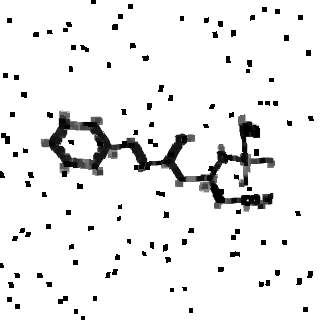 CC(C)(C)[Si](C)(C)O[C@@H](CC(=O)O)CC(=O)C=Cc1cccnc1